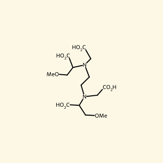 COCC(C(=O)O)N(CCN(CC(=O)O)C(COC)C(=O)O)CC(=O)O